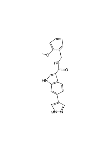 COc1ccccc1CNC(=O)c1c[nH]c2cc(-c3cn[nH]c3)ccc12